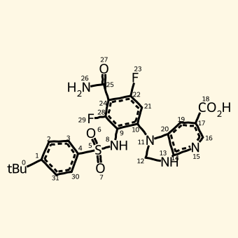 CC(C)(C)c1ccc(S(=O)(=O)Nc2c(N3CNc4ncc(C(=O)O)cc43)cc(F)c(C(N)=O)c2F)cc1